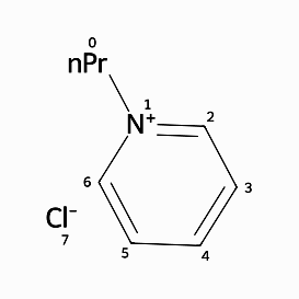 CCC[n+]1ccccc1.[Cl-]